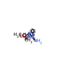 COc1ccc(-c2cn3c(n2)c(NCCN)nc2ccccc23)c(OC)c1